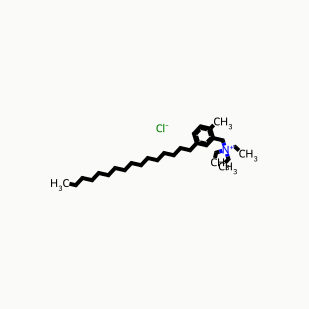 CCCCCCCCCCCCCCCCc1ccc(C)c(C[N+](CC)(CC)CC)c1.[Cl-]